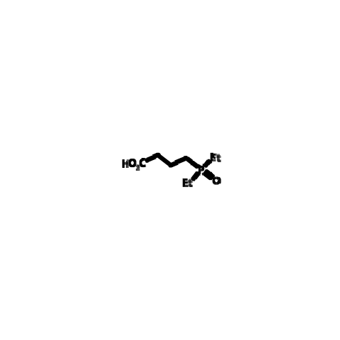 CCP(=O)(CC)CCCC(=O)O